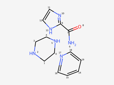 C1CNCCN1.NC(=O)c1ncc[nH]1.c1ccncc1